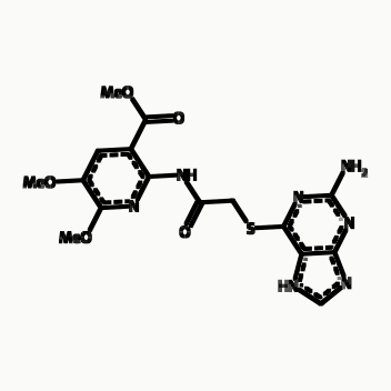 COC(=O)c1cc(OC)c(OC)nc1NC(=O)CSc1nc(N)nc2nc[nH]c12